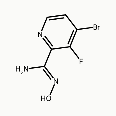 NC(=NO)c1nccc(Br)c1F